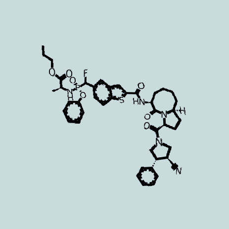 CCCOC(=O)[C@H](C)NP(=O)(Oc1ccccc1)C(F)c1ccc2sc(C(=O)N[C@H]3CCCC[C@H]4CC[C@@H](C(=O)N5C[C@@H](C#N)[C@H](c6ccccc6)C5)N4C3=O)cc2c1